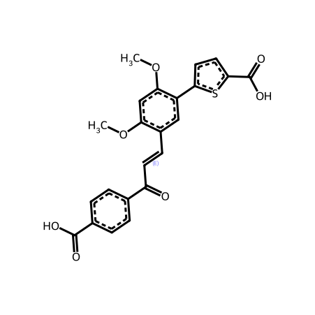 COc1cc(OC)c(-c2ccc(C(=O)O)s2)cc1/C=C/C(=O)c1ccc(C(=O)O)cc1